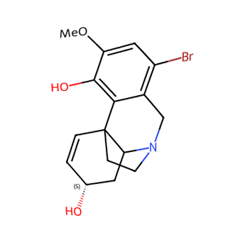 COc1cc(Br)c2c(c1O)C13C=C[C@@H](O)CC1N(CC3)C2